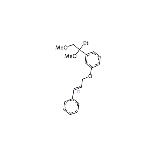 CCC(COC)(OC)c1cccc(OC/C=C/c2ccccc2)c1